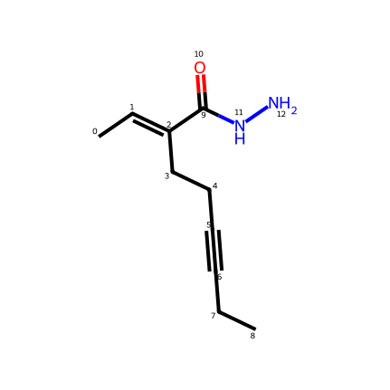 C/C=C(\CCC#CCC)C(=O)NN